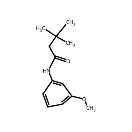 COc1cccc(NC(=O)CC(C)(C)C)c1